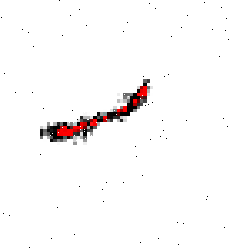 O=C(CCOCCOCCOCCNC(=O)COc1ccc2c(c1)OCC(c1ccc(F)cc1)C2=O)NCC(O)C[n+]1ccn(CC(O)(P(=O)(O)O)P(=O)(O)O)c1